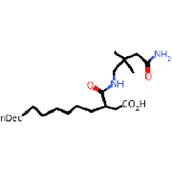 CCCCCCCCCCCCCCCCC(CC(=O)O)C(=O)NCC(C)(C)CC(N)=O